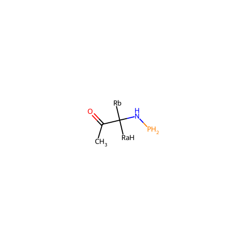 CC(=O)[C]([Rb])([RaH])NP